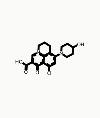 O=C(O)c1cn2c3c(c(N4CCC(O)CC4)cc(Cl)c3c1=O)CCC2